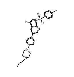 CCCN1CCN(c2ccc(-c3cnc4c(c3)c(I)cn4S(=O)(=O)c3ccc(C)cc3)cc2)CC1